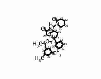 Cc1cc([C@@H](C)OC[C@@]2(c3ccccc3)CC[C@]3(CN4CCCCC4=O)CN2CC(=O)N3)cc(C(F)(F)F)c1